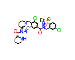 CCS(=O)(=O)c1ccc(Cl)cc1CNC(=O)c1cc(Cl)c(CN2CCC[C@H](NC(=O)[C@H]3CCCCN3)C2)c(C(F)(F)F)c1